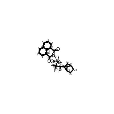 O=C1c2cccc3cccc(c23)C(=O)N1OS(=O)(=O)C(F)(F)C(F)(F)C1CC2CCC1C2